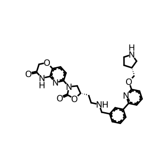 O=C1COc2ccc(N3C[C@H](CCNCc4cccc(-c5cccc(OC[C@@H]6CCNC6)n5)c4)OC3=O)nc2N1